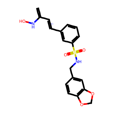 C=C(/C=C/c1cccc(S(=O)(=O)NCc2ccc3c(c2)OCO3)c1)NO